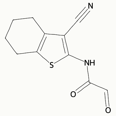 N#Cc1c(NC(=O)C=O)sc2c1CCCC2